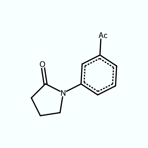 CC(=O)c1cccc(N2CCCC2=O)c1